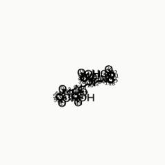 O=C(NCCCN(CCCCN(CCCNc1cccc2ccc(=O)n(O)c12)C(=O)c1cccc(=O)n1O)C(=O)C1=CC=CC(=O)C1O)C1=CC=CC(=O)C1O